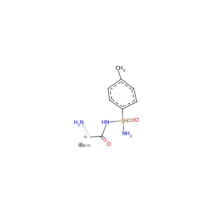 CC[C@H](C)[C@H](N)C(=O)N[SH](N)(=O)c1ccc(C)cc1